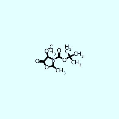 COC1C(=O)OC(C)N1C(=O)OC(C)(C)C